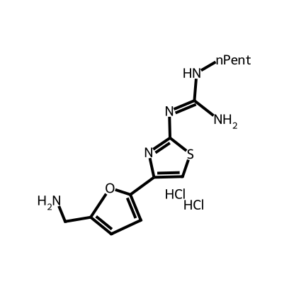 CCCCCN/C(N)=N/c1nc(-c2ccc(CN)o2)cs1.Cl.Cl